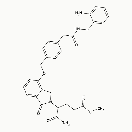 COC(=O)CCC(C(N)=O)N1Cc2c(OCc3ccc(CC(=O)NCc4ccccc4N)cc3)cccc2C1=O